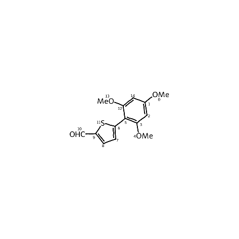 COc1cc(OC)c(-c2ccc(C=O)s2)c(OC)c1